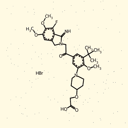 Br.COc1cc2c(c(F)c1OC)C(=N)N(CC(=O)c1cc(N3CCC(OCC(=O)O)CC3)c(OC)c(C(C)(C)C)c1)C2